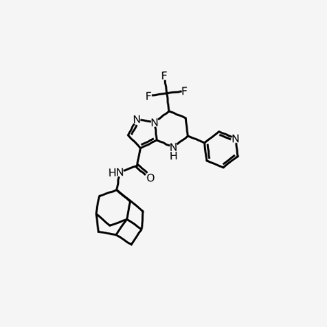 O=C(NC12CC3CC4CC(C1)C4(C3)C2)c1cnn2c1NC(c1cccnc1)CC2C(F)(F)F